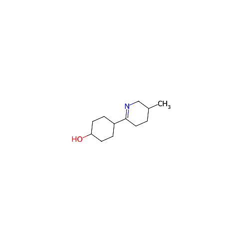 CC1CCC(C2CCC(O)CC2)=NC1